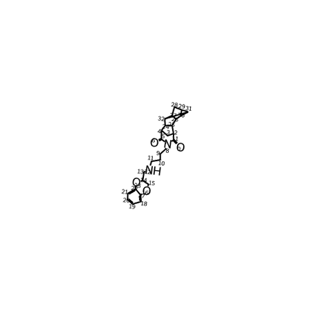 O=C1C2CC(C(=O)N1CCCCNCC1COc3ccccc3O1)C1C2C2C3CC4C2C4C31